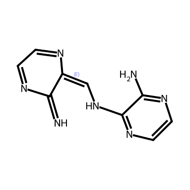 N=C1N=CC=N/C1=C/Nc1nccnc1N